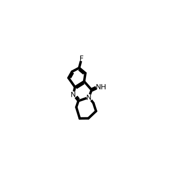 N=c1c2cc(F)ccc2nc2n1CCCCC2